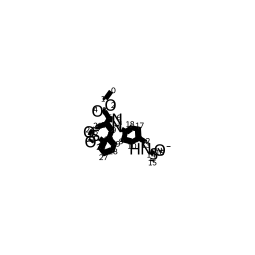 CCOC(=O)c1nn(-c2ccc(CN[S+](C)[O-])cc2)c2c1CS(=O)(=O)c1ccccc1-2